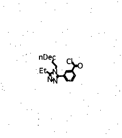 CCCCCCCCCCCCn1c(CC)nnc1-c1cccc(C(=O)Cl)c1